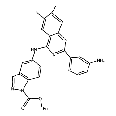 Cc1cc2nc(-c3cccc(N)c3)nc(Nc3ccc4c(cnn4C(=O)OC(C)(C)C)c3)c2cc1C